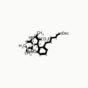 CCCCCCCCCCCCCCCc1cccc(OC)c1C1C(C(=O)OCC)=C(C)NC(=S)N1C(=O)N(C)C